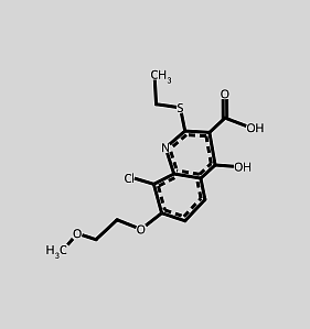 CCSc1nc2c(Cl)c(OCCOC)ccc2c(O)c1C(=O)O